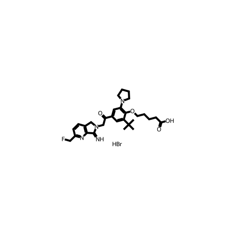 Br.CC(C)(C)c1cc(C(=O)CN2Cc3ccc(CF)nc3C2=N)cc(N2CCCC2)c1OCCCCC(=O)O